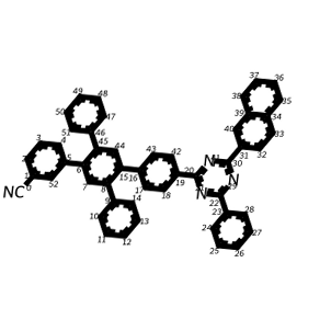 N#Cc1cccc(-c2cc(-c3ccccc3)c(-c3ccc(-c4nc(-c5ccccc5)nc(-c5ccc6ccccc6c5)n4)cc3)cc2-c2ccccc2)c1